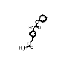 NC(=O)OCc1ccc(NC(=O)Oc2ccccc2)cc1